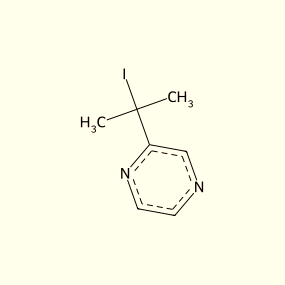 CC(C)(I)c1cnccn1